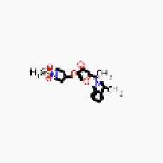 CC1CN([C@H](C)c2cc(=O)c(OCC3CCN(S(C)(=O)=O)CC3)co2)Cc2ccccc21